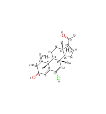 C=C1C(=C)[C@@]2(C)C(=CC1=O)C(Cl)=C[C@@H]1[C@@H]2CC[C@]2(C)C(C(C)=O)=CC[C@@H]12